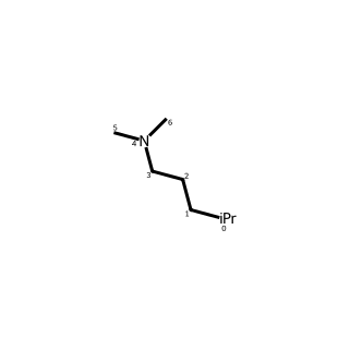 [CH2]C(C)CCCN(C)C